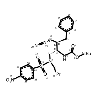 CC(C)CN(C[C@@H](NC(=O)OC(C)(C)C)[C@H](Cc1ccccc1)N=[N+]=[N-])S(=O)(=O)c1ccc([N+](=O)[O-])cc1